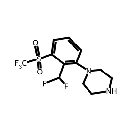 O=S(=O)(c1cccc(N2CCNCC2)c1C(F)F)C(F)(F)F